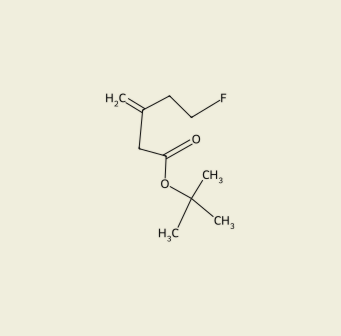 C=C(CCF)CC(=O)OC(C)(C)C